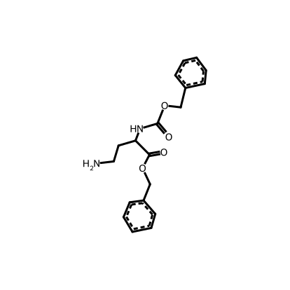 NCCC(NC(=O)OCc1ccccc1)C(=O)OCc1ccccc1